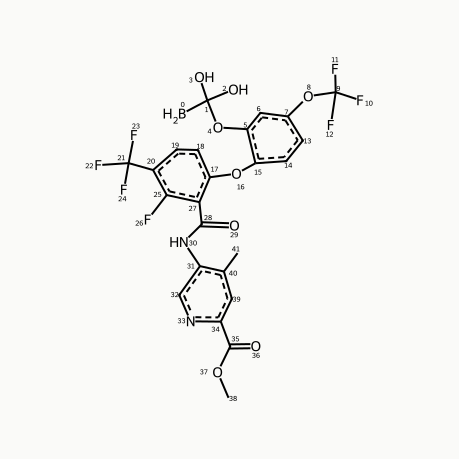 BC(O)(O)Oc1cc(OC(F)(F)F)ccc1Oc1ccc(C(F)(F)F)c(F)c1C(=O)Nc1cnc(C(=O)OC)cc1C